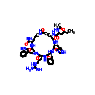 CCCCC(NC(C)=O)C(=O)N[C@H]1CCC(=O)NCCC[C@@H](C(N)=O)NC(=O)[C@H](Cc2c[nH]c3ccccc23)NC(=O)[C@H](CCCNC(=N)N)NC(=O)[C@@H](Cc2ccccc2)NC(O)[C@H](Cc2c[nH]cn2)NC1=O